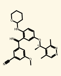 COc1cc(C#N)cc(C(=N)c2cc(O[C@H](C)c3c(C)cnnc3C)ccc2NC2CCCCO2)c1